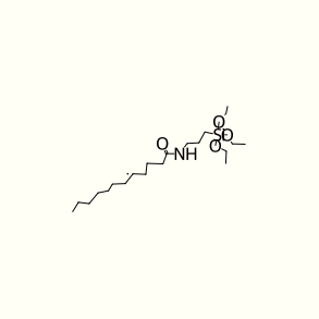 CCCCCCC[CH]CCCC(=O)NCCC[Si](OCC)(OCC)OCC